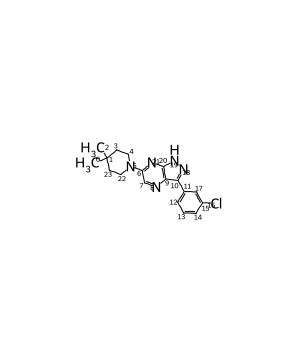 CC1(C)CCN(c2cnc3c(-c4cccc(Cl)c4)n[nH]c3n2)CC1